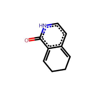 O=c1[nH]ccc2c1=CCCC=2